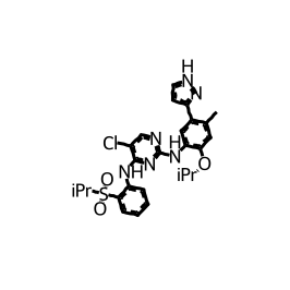 Cc1cc(OC(C)C)c(Nc2ncc(Cl)c(Nc3ccccc3S(=O)(=O)C(C)C)n2)cc1-c1cc[nH]n1